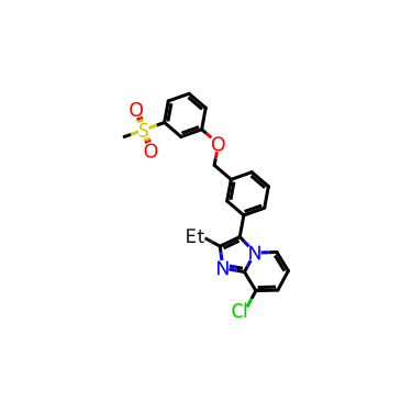 CCc1nc2c(Cl)cccn2c1-c1cccc(COc2cccc(S(C)(=O)=O)c2)c1